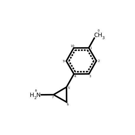 Cc1ccc(C2CC2N)cc1